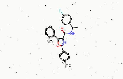 CC(NC(=O)c1nc(-c2ccc(C(F)(F)F)cc2)oc1-c1ccccc1[N+](=O)[O-])c1ccc(F)cc1